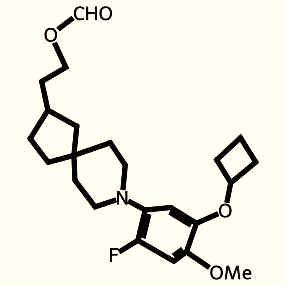 COc1cc(F)c(N2CCC3(CCC(CCOC=O)C3)CC2)cc1OC1CCC1